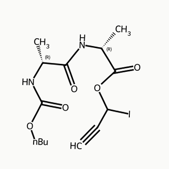 C#CC(I)OC(=O)[C@@H](C)NC(=O)[C@@H](C)NC(=O)OCCCC